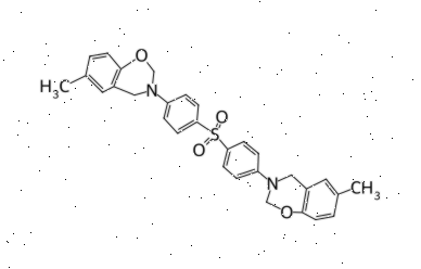 Cc1ccc2c(c1)CN(c1ccc(S(=O)(=O)c3ccc(N4COc5ccc(C)cc5C4)cc3)cc1)CO2